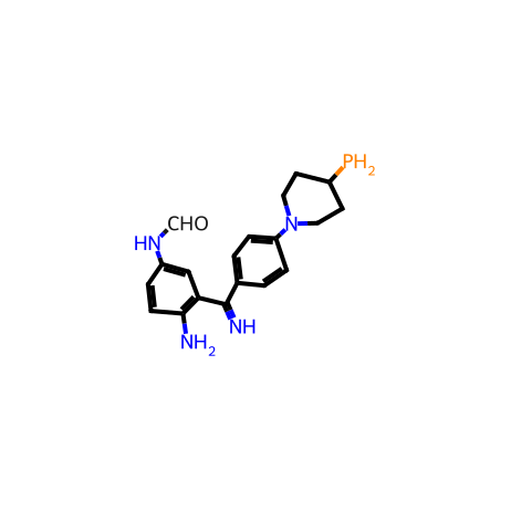 N=C(c1ccc(N2CCC(P)CC2)cc1)c1cc(NC=O)ccc1N